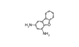 Nc1cc(N)c2oc3ccccc3c2c1